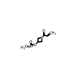 C=CC(=O)N1CC(OC(=O)NC)C1